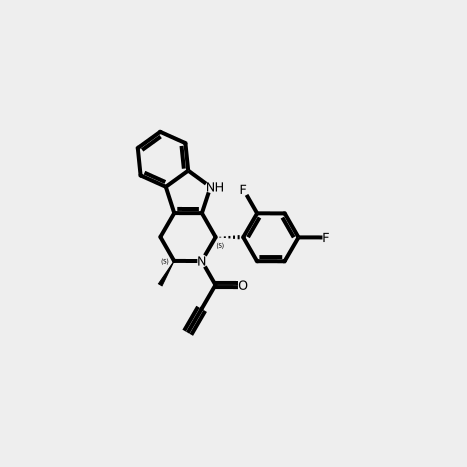 C#CC(=O)N1[C@@H](c2ccc(F)cc2F)c2[nH]c3ccccc3c2C[C@@H]1C